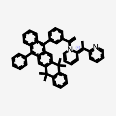 C=C(c1cccc(-c2c3ccccc3c(-c3ccccc3)c3cc4c(cc23)C(C)(C)c2ccccc2C4(C)C)c1)N1C=CC=C/C1=C(/C)c1ccccn1